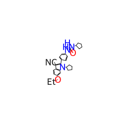 CCOc1ccc2c(C#N)c(-c3ccc(NC(=O)NC4CCCC4)cc3)n(C3CCCC3)c2c1